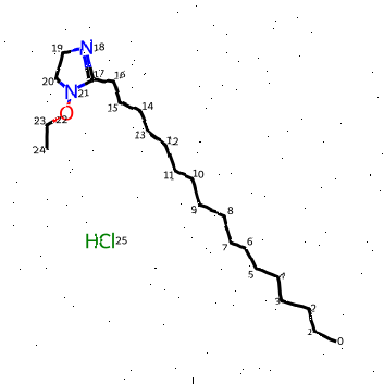 CCCCCCCCCCCCCCCCCC1=NCCN1OCC.Cl